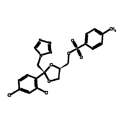 Cc1ccc(S(=O)(=O)OC[C@@H]2CO[C@@](Cn3cnnn3)(c3ccc(Cl)cc3Cl)O2)cc1